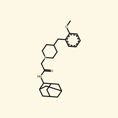 COc1ccccc1CC1CCN(CC(=O)NC2C3CC4CC(C3)CC2C4)CC1